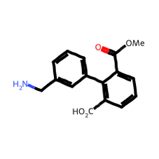 COC(=O)c1cccc(C(=O)O)c1-c1cccc(CN)c1